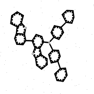 c1ccc(-c2ccc(N(c3ccc(-c4ccccc4)cc3)c3ccc(-c4cccc5c4oc4ccccc45)c4oc5ccccc5c34)cc2)cc1